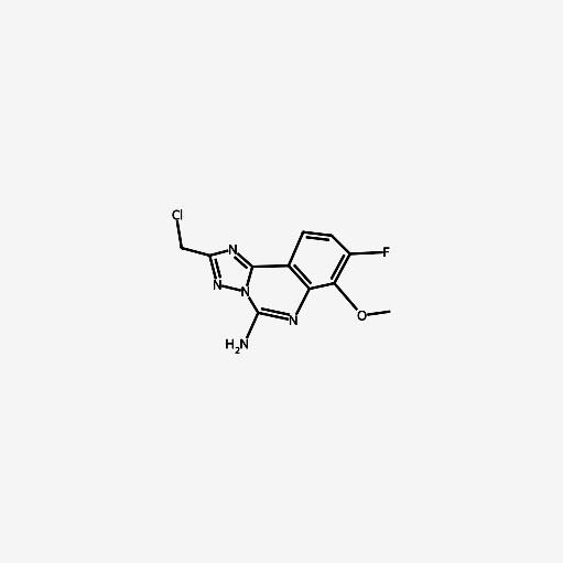 COc1c(F)ccc2c1nc(N)n1nc(CCl)nc21